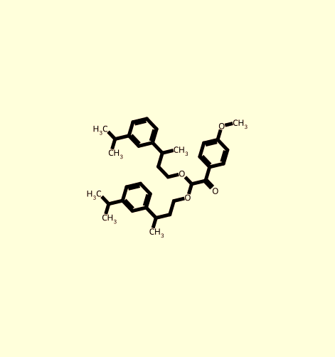 COc1ccc(C(=O)C(OCCC(C)c2cccc(C(C)C)c2)OCCC(C)c2cccc(C(C)C)c2)cc1